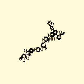 C=CC(=O)N1CCC[C@H]1c1ccc(N2CC(CS(C)(=O)=O)C2)c2cnc(Nc3ccnc(N4CC[C@@H](OC5CCN(c6ccc7c(c6)C(=O)N(C6CCC(=O)NC6=O)C7=O)CC5)[C@@H](F)C4)n3)cc12